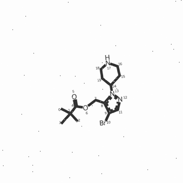 CC(C)(C)C(=O)OCc1c(Br)cnn1C1CCNCC1